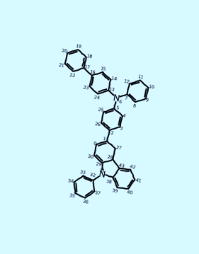 C1=C(c2ccc(N(c3ccccc3)c3ccc(-c4ccccc4)cc3)cc2)CC2C(=C1)N(c1ccccc1)c1ccccc12